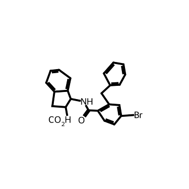 O=C(NC1c2ccccc2CC1C(=O)O)c1ccc(Br)cc1Cc1ccccc1